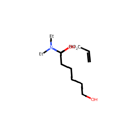 C=CC(=O)O.CCN(CC)C(O)CCCCCO